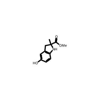 COC(=O)C1(C)Cc2cc(O)ccc2N1